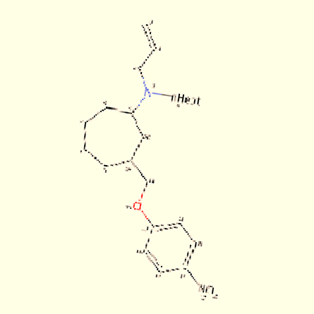 C=CCN(CCCCCCC)C1CCCCC(COc2ccc([N+](=O)[O-])cc2)C1